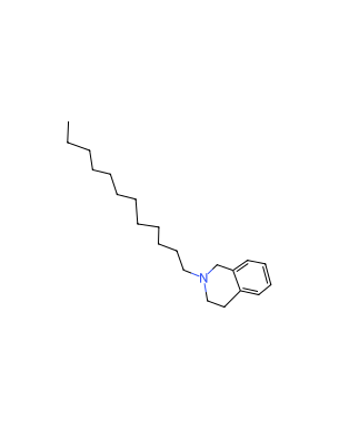 CCCCCCCCCCCCN1CCc2ccccc2C1